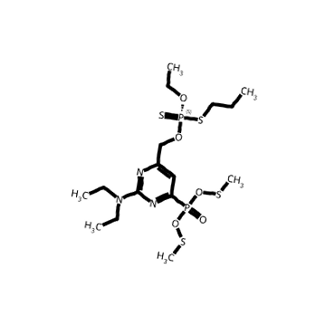 CCCS[P@@](=S)(OCC)OCc1cc(P(=O)(OSC)OSC)nc(N(CC)CC)n1